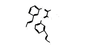 CCCC=Cc1cccc(N=C(C)C(CCCC)=Nc2cccc(C=CCCC)c2)c1.[Ni]